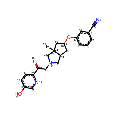 N#Cc1cccc(O[C@H]2CC3CN(CC(=O)c4ccc(O)cn4)C[C@@H]3C2)c1